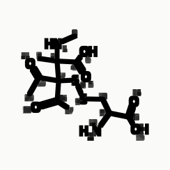 CNC(C)(C(=O)O)C(SSCC(N)C(=O)O)(C(C)=O)C(C)=O